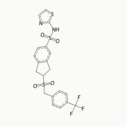 O=S(=O)(Nc1nccs1)c1ccc2c(c1)CC(S(=O)(=O)Cc1ccc(C(F)(F)F)cc1)C2